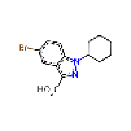 O=C(O)c1nn(C2CCCCC2)c2ccc(Br)cc12